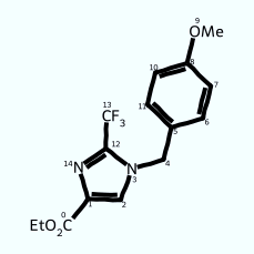 CCOC(=O)c1cn(Cc2ccc(OC)cc2)c(C(F)(F)F)n1